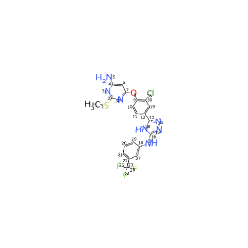 CSc1nc(N)cc(Oc2ccc(-c3nnc(Nc4cccc(C(F)(F)F)c4)[nH]3)cc2Cl)n1